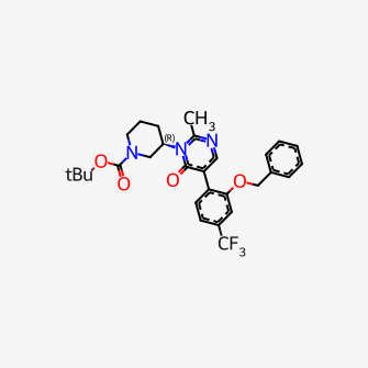 Cc1ncc(-c2ccc(C(F)(F)F)cc2OCc2ccccc2)c(=O)n1[C@@H]1CCCN(C(=O)OC(C)(C)C)C1